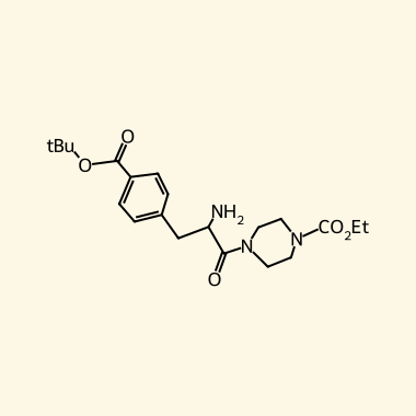 CCOC(=O)N1CCN(C(=O)C(N)Cc2ccc(C(=O)OC(C)(C)C)cc2)CC1